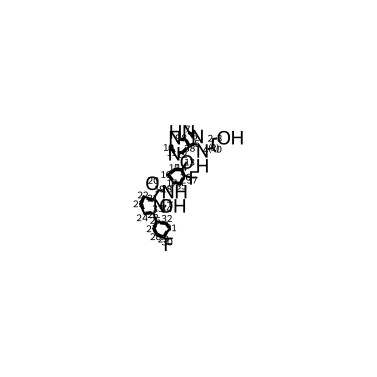 C[C@H](CO)Nc1n[nH]c2ncnc(Oc3ccc(NC(=O)c4cccc(-c5ccc(F)cc5)[n+]4O)cc3F)c12